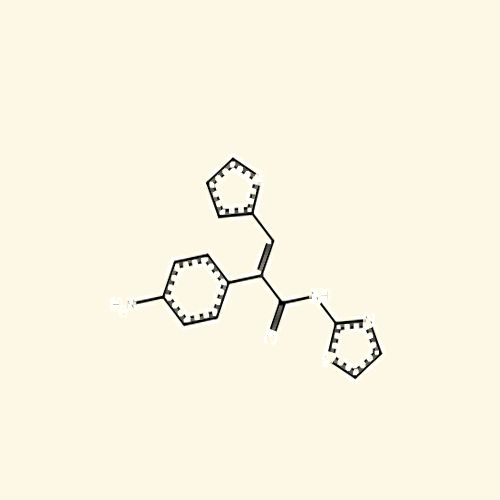 Nc1ccc(/C(=C\c2cccs2)C(=O)Nc2nccs2)cc1